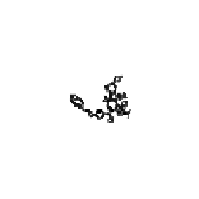 CC(C)NC(=O)C1=CN(C(=O)c2ccc(OCCN3CCOCC3)cc2)CC(C)(C)c2c1[nH]c1cc(Cl)cnc21